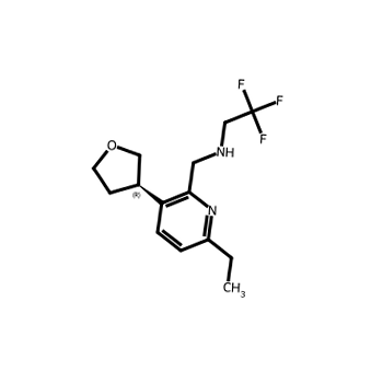 CCc1ccc([C@H]2CCOC2)c(CNCC(F)(F)F)n1